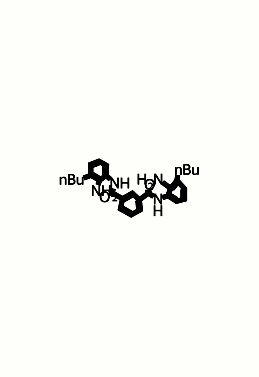 CCCCc1cccc(NC(=O)c2cccc(C(=O)Nc3cccc(CCCC)c3N)c2)c1N